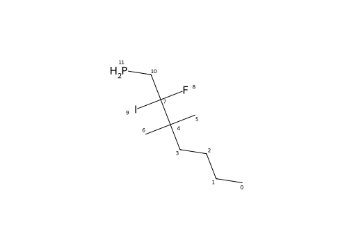 CCCCC(C)(C)C(F)(I)CP